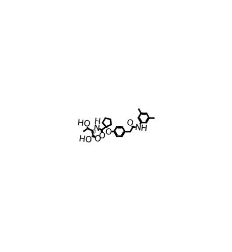 Cc1cc(C)cc(NC(=O)Cc2ccc(OC3(C(=O)N[C@H](C(=O)O)C(C)O)CCCC3)cc2)c1